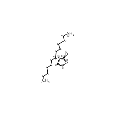 CCCCCCCCCCCCN.O=c1[nH]cco1